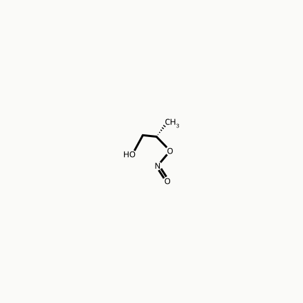 C[C@@H](CO)ON=O